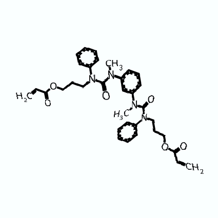 C=CC(=O)OCCCN(C(=O)N(C)c1cccc(N(C)C(=O)N(CCCOC(=O)C=C)c2ccccc2)c1)c1ccccc1